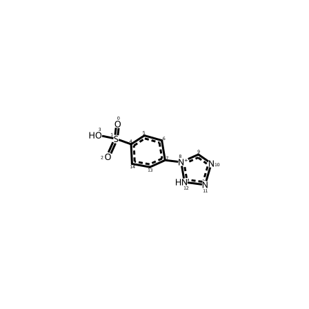 O=S(=O)(O)c1ccc(-[n+]2cnn[nH]2)cc1